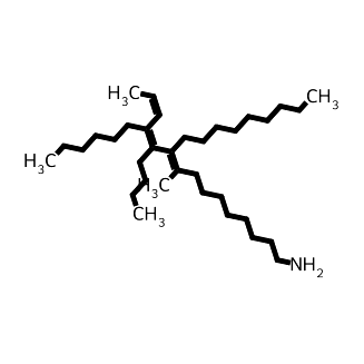 C\C=C/C(CCCCCC)=C(CCCC)\C(CCCCCCCCC)=C(/C)CCCCCCCCN